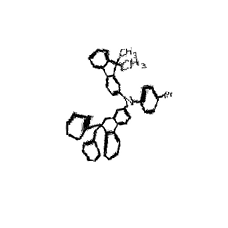 CC(C)c1ccc(N(c2ccc3c(c2)CC(c2ccccc2)(c2ccccc2)c2ccccc2-3)c2ccc3c(c2)C(C)(C)c2ccccc2-3)cc1